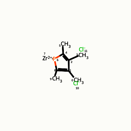 Cc1c(C)c(C)[p]([Zr+2])c1C.[Cl-].[Cl-]